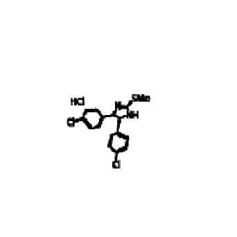 CSC1=NC(c2ccc(Cl)cc2)C(c2ccc(Cl)cc2)N1.Cl